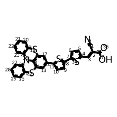 N#C/C(=C\c1ccc(-c2ccc(-c3cc4c5c(c3)Sc3ccccc3N5c3ccccc3S4)s2)s1)C(=O)O